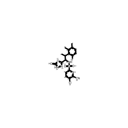 Cc1ccc(F)c(C(C)C(NS(=O)(=O)c2ccc(Cl)c(C#N)n2)c2n[nH]c(=O)o2)c1C